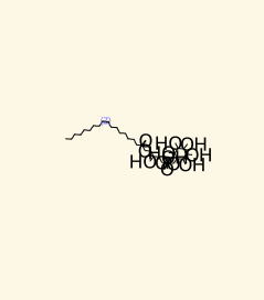 CCCCCCCC/C=C\CCCCCCCC(=O)OCC(O)COP(=O)(O)OC1C(O)C(O)C(O)C(O)C1O